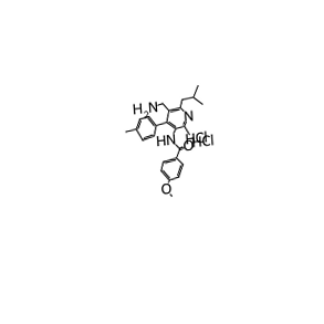 COc1ccc(C(=O)Nc2c(C)nc(CC(C)C)c(CN)c2-c2ccc(C)cc2)cc1.Cl.Cl